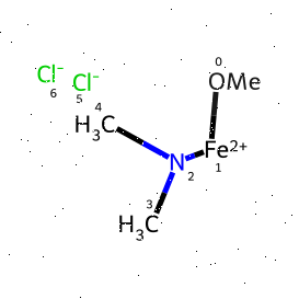 C[O][Fe+2][N](C)C.[Cl-].[Cl-]